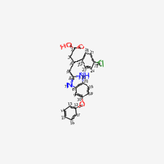 O=C(O)CC(Cc1nc2cc(Oc3ccccc3)ccc2[nH]1)c1ccc(Cl)cc1